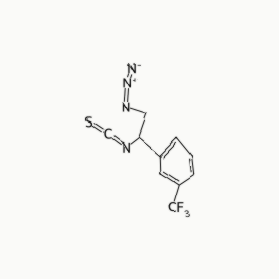 [N-]=[N+]=NCC(N=C=S)c1cccc(C(F)(F)F)c1